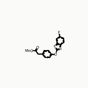 COC(=O)Cc1ccc(Oc2nc3ccc(F)cc3s2)cc1